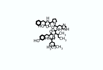 CCC(C)C(NC(=O)C(Cc1ccc(O)cc1)NC(=O)C(CN)CC(C)C)C(=O)NC(CC1CNC=N1)C(=O)N1CCCC1C(=O)NC(Cc1ccccc1)C(=O)O